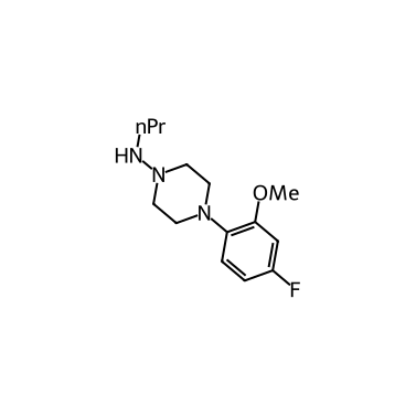 CCCNN1CCN(c2ccc(F)cc2OC)CC1